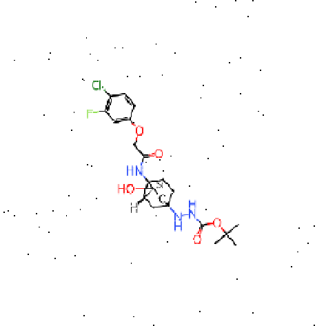 CC(C)(C)OC(=O)NNC12CCC(NC(=O)COc3ccc(Cl)c(F)c3)(CC1)[C@@H](O)C2